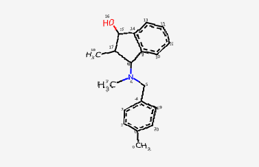 Cc1ccc(CN(C)C2c3ccccc3C(O)C2C)cc1